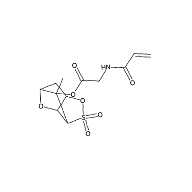 C=CC(=O)NCC(=O)OC1(C)C2CC3OS(=O)(=O)C1C3O2